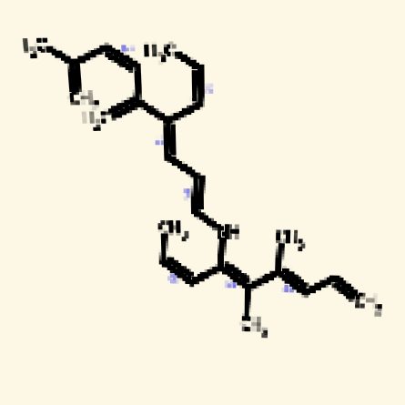 C=C/C=C(C)/C(C)=C(/C=C\C)N/C=C/C=C(\C=C/C)C(=C)/C=C\C(=C)C